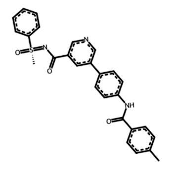 Cc1ccc(C(=O)Nc2ccc(-c3cncc(C(=O)N=[S@@](C)(=O)c4ccccc4)c3)cc2)cc1